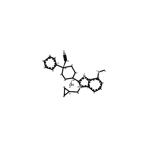 CSc1cccc2c1nc([C@]1(O)CC[C@@](C#N)(c3ccccc3)CC1)n2CC1CC1